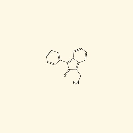 NCC1=c2ccccc2=C(c2ccccc2)C1=O